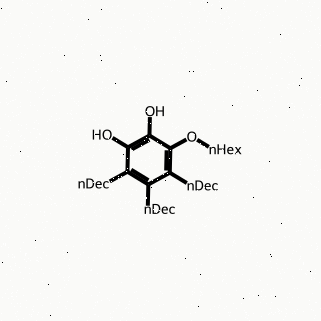 CCCCCCCCCCc1c(O)c(O)c(OCCCCCC)c(CCCCCCCCCC)c1CCCCCCCCCC